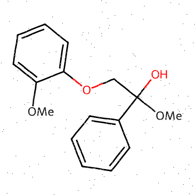 COc1ccccc1OCC(O)(OC)c1ccccc1